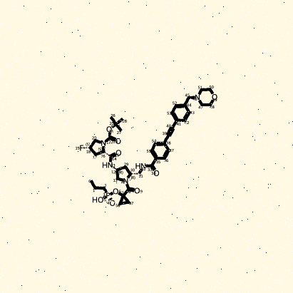 CCCP(=O)(O)OC1(C(=O)N2C[C@H](NC(=O)[C@@H]3C[C@H](F)CN3C(=O)OC(C)(C)C)C[C@@H]2CNC(=O)c2ccc(C#Cc3ccc(CN4CCOCC4)cc3)cc2)CC1